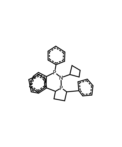 c1ccc(C2CCC(c3ccccc3)P2N(C2CCC2)P(c2ccccc2)c2ccccc2)cc1